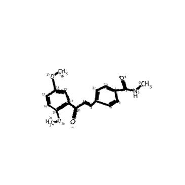 CNC(=O)c1ccc(C=CC(=O)c2cc(OC)ccc2OC)cc1